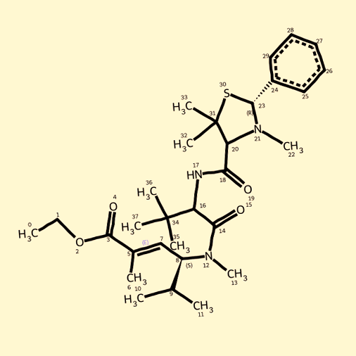 CCOC(=O)/C(C)=C/[C@H](C(C)C)N(C)C(=O)C(NC(=O)C1N(C)[C@@H](c2ccccc2)SC1(C)C)C(C)(C)C